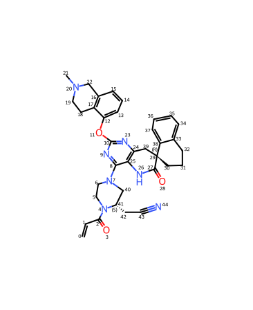 C=CC(=O)N1CCN(c2nc(Oc3cccc4c3CCN(C)C4)nc3c2NC(=O)[C@]2(CCCc4ccccc42)C3)C[C@@H]1CC#N